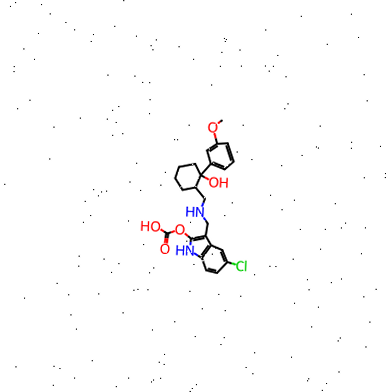 COc1cccc(C2(O)CCCCC2CNCc2c(OC(=O)O)[nH]c3ccc(Cl)cc23)c1